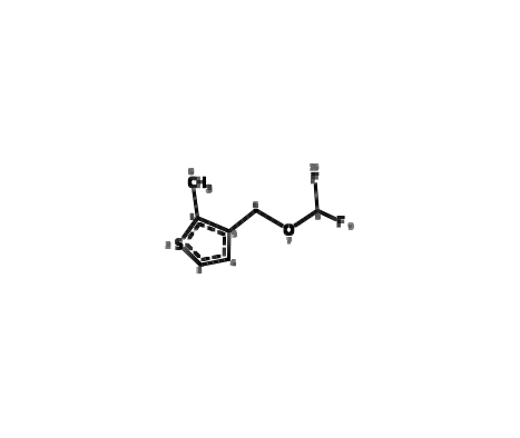 Cc1sccc1COC(F)F